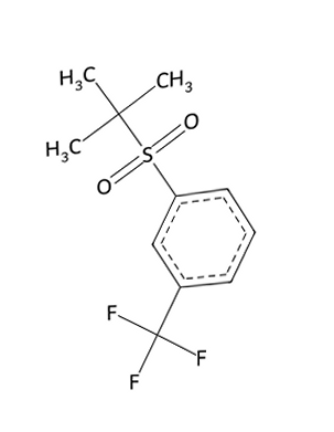 CC(C)(C)S(=O)(=O)c1cccc(C(F)(F)F)c1